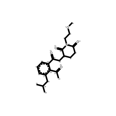 COCCN1C(=O)CCC(CC(=O)c2cccc(CC(C)C)c2C(C)=O)C1=O